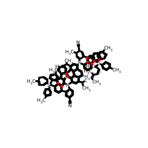 C=C(/C=C\C(C)=C/C)S(c1ccc(C)cc1)(c1ccc(C)cc1)c1ccc(C2=CC(C#N)C(C)C=C2N(c2cc(C(C)C)c3ccc4c(N(c5ccc(C#N)cc5-c5ccc([Si](C6=CC=C(C)CC=C6)(c6ccc(C)cc6)c6ccc(C)cc6)cc5)c5cccc6c5oc5ccccc56)cc(C(C)C)c5ccc2c3c54)c2cccc3c2oc2ccccc23)cc1